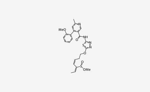 C/C=C(\C=C/CCOc1nnc(NC(=O)c2cnc(C)cc2-c2ccccc2OC)s1)S(=O)OC